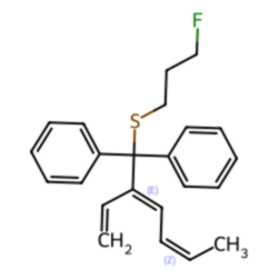 C=C/C(=C\C=C/C)C(SCCCF)(c1ccccc1)c1ccccc1